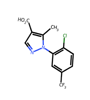 Cc1c(C(=O)O)cnn1-c1cc(C(F)(F)F)ccc1Cl